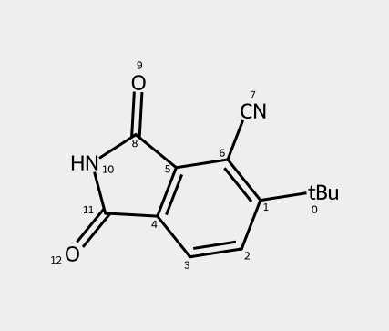 CC(C)(C)c1ccc2c(c1C#N)C(=O)NC2=O